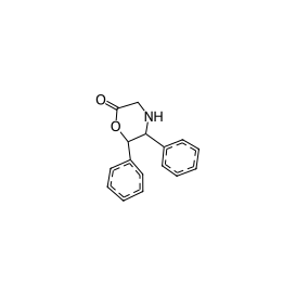 O=C1CNC(c2ccccc2)C(c2ccccc2)O1